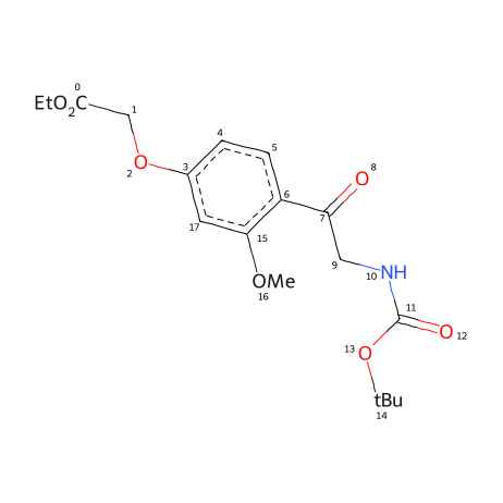 CCOC(=O)COc1ccc(C(=O)CNC(=O)OC(C)(C)C)c(OC)c1